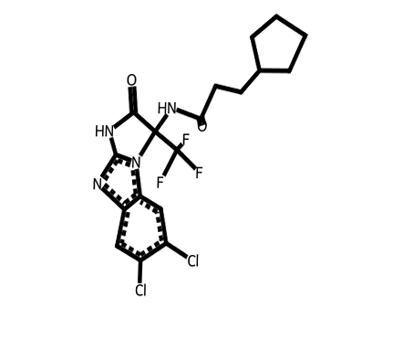 O=C(CCC1CCCC1)NC1(C(F)(F)F)C(=O)Nc2nc3cc(Cl)c(Cl)cc3n21